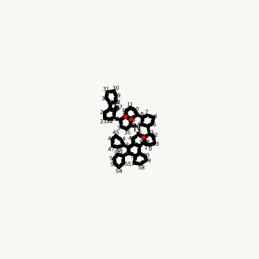 c1ccc(-c2cccc(-c3ccccc3)c2N(c2ccc(-c3cccc4c3sc3ccccc34)cc2)c2ccc3c(c2)c(-c2ccccc2)c(-c2ccccc2)c2ccccc23)cc1